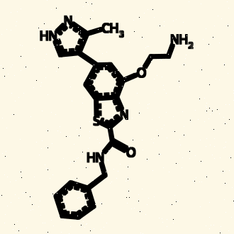 Cc1n[nH]cc1-c1cc(OCCN)c2nc(C(=O)NCc3ccccc3)sc2c1